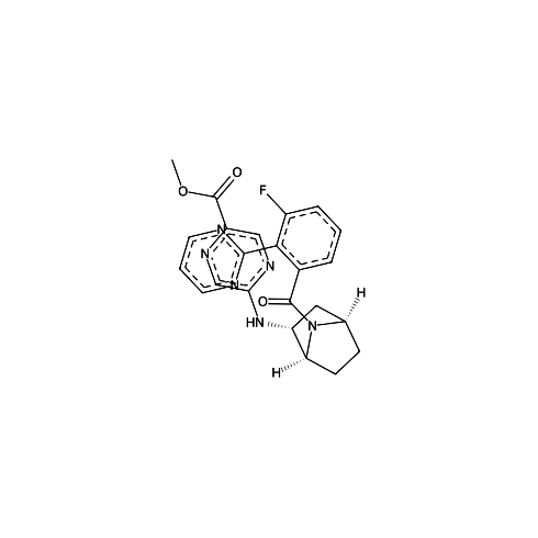 COC(=O)c1cnc(N[C@@H]2C[C@H]3CC[C@@H]2N3C(=O)c2cccc(F)c2-c2ncccn2)cn1